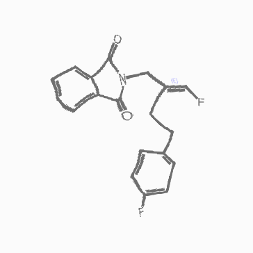 O=C1c2ccccc2C(=O)N1C/C(=C/F)CCc1ccc(F)cc1